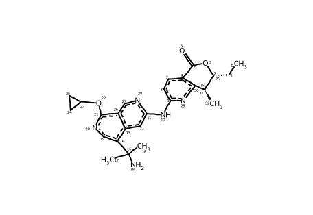 CC[C@H]1OC(=O)c2ccc(Nc3cc4c(C(C)(C)N)cnc(OC5CC5)c4cn3)nc2[C@@H]1C